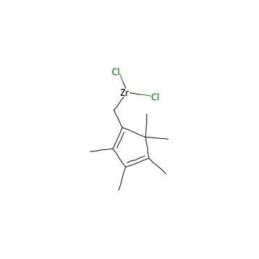 CC1=C(C)C(C)(C)C([CH2][Zr]([Cl])[Cl])=C1C